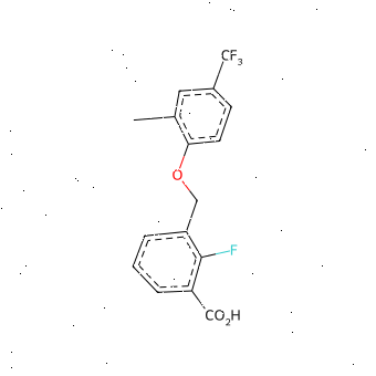 Cc1cc(C(F)(F)F)ccc1OCc1cccc(C(=O)O)c1F